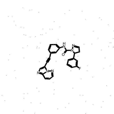 O=C(Nc1cccc(C#Cc2cnc3cccnn23)c1)N1N=CCC1c1cccc(F)c1